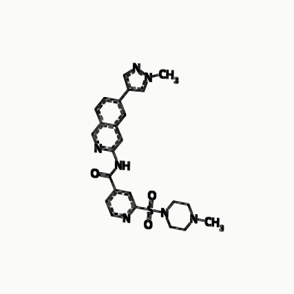 CN1CCN(S(=O)(=O)c2cc(C(=O)Nc3cc4cc(-c5cnn(C)c5)ccc4cn3)ccn2)CC1